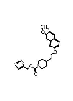 COc1ccc2ccc(OCCC3CCN(C(=O)OCc4cncs4)CC3)cc2c1